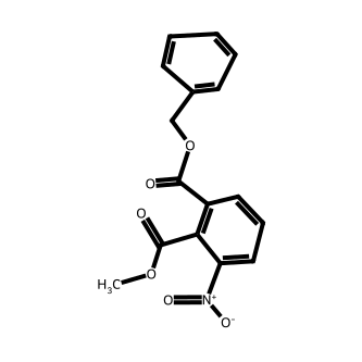 COC(=O)c1c(C(=O)OCc2ccccc2)cccc1[N+](=O)[O-]